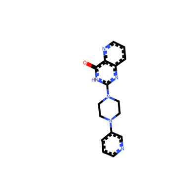 O=c1[nH]c(N2CCN(c3cccnc3)CC2)nc2cccnc12